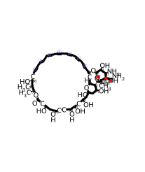 C[C@@H]1[C@H](O)C/C=C/C=C/C=C/C=C/C=C/C=C/C=C/[C@H](O[C@@H]2O[C@H](C)[C@@H](O)[C@H](N)[C@H]2O)C[C@@H]2O[C@](O)(C[C@@H](O)C[C@@H](O)[C@H](O)CC[C@@H](O)C[C@@H](O)CC(=O)O[C@H]1C)C[C@H](O)[C@H]2C(=O)NCCN